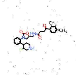 Cc1ccc(C(=O)CCC(=O)NC[C@H]2CN(c3ccccc3C3CCNCC3F)C(=O)O2)c(C)c1